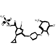 Cc1cc(Cl)c(F)c(OC2CCN(Cc3cc(F)c(C(=O)NS(C)(=O)=O)cc3C3CC3)CC2)c1